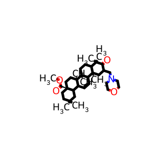 COC(=O)[C@]12CCC(C)(C)CC1C1C=CC3[C@@]4(C)CC(CN5CCOCC5)C(=O)C(C)(C)C4CC[C@@]3(C)[C@]1(C)CC2